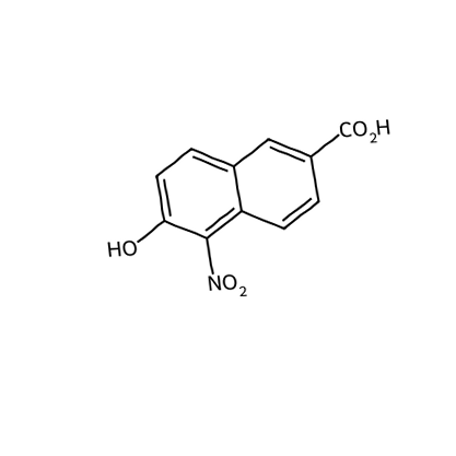 O=C(O)c1ccc2c([N+](=O)[O-])c(O)ccc2c1